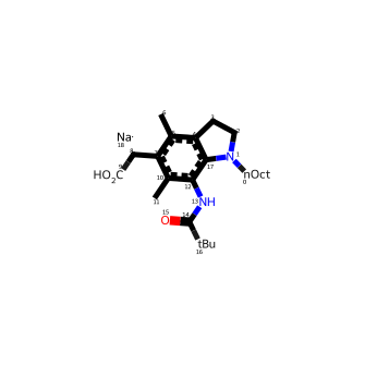 CCCCCCCCN1CCc2c(C)c(CC(=O)O)c(C)c(NC(=O)C(C)(C)C)c21.[Na]